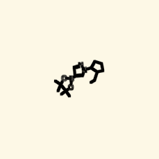 CCC1CCCC1n1cc(B2OC(C)(C)C(C)(C)O2)cn1